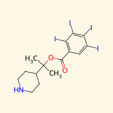 CC(C)(OC(=O)c1cc(I)c(I)c(I)c1I)C1CCNCC1